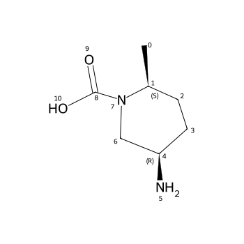 C[C@H]1CC[C@@H](N)CN1C(=O)O